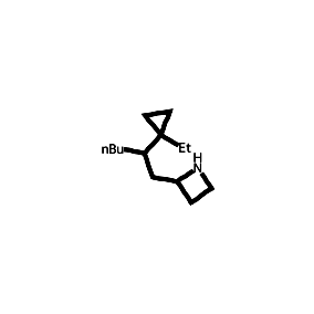 CCCCC(CC1CCN1)C1(CC)CC1